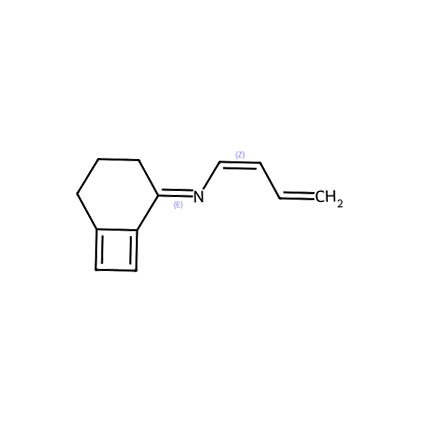 C=C/C=C\N=C1/CCCC2=CC=C21